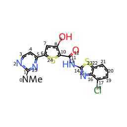 CNc1nccc(-c2cc(O)c(C(=O)Nc3nc4c(Cl)cccc4s3)s2)n1